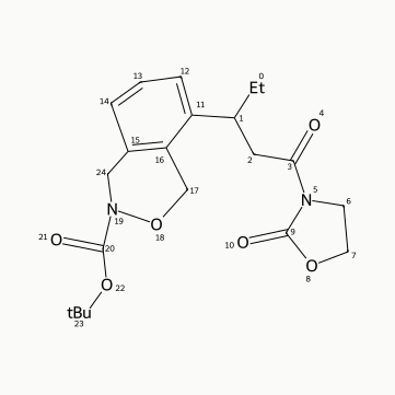 CCC(CC(=O)N1CCOC1=O)c1cccc2c1CON(C(=O)OC(C)(C)C)C2